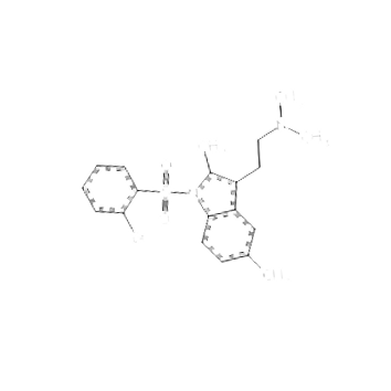 Cc1ccc2c(c1)c(CCN(C)C)c(C)n2S(=O)(=O)c1ccccc1Br